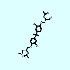 COC[C@H](COc1ccc(C(C)(C)c2ccc(OC[C@H](CCl)OC(C)=O)c(Cl)c2)cc1Cl)OC(C)=O